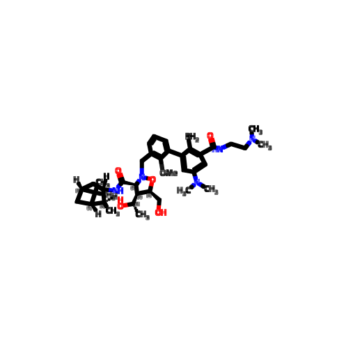 Bc1c(C(=O)NCCN(C)C)cc(N(C)C)cc1-c1cccc(CN2O[C@@H](CO)[C@@H]([C@H](C)O)[C@H]2C(=O)N[C@H]2C[C@H]3C[C@@H]([C@@H]2C)C3(C)C)c1OC